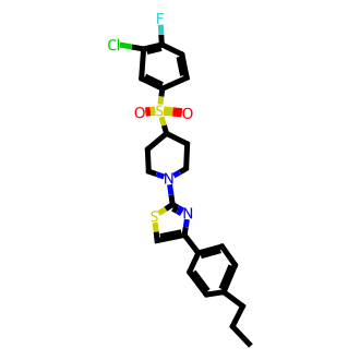 CCCc1ccc(-c2csc(N3CCC(S(=O)(=O)c4ccc(F)c(Cl)c4)CC3)n2)cc1